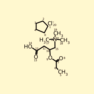 C1CCCC1.CCC(=O)OC(CC(=O)O)C[N+](C)(C)C.[Cl-]